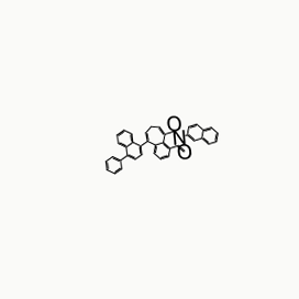 O=C1C2=CCC=C(c3ccc(-c4ccccc4)c4ccccc34)c3cccc(c32)C(=O)N1c1ccc2ccccc2c1